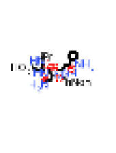 CCCCCCCCCC(=O)NC(CC(=O)c1ccccc1N)C(=O)NC(CC(N)=O)C(=O)NC(CC(=O)O)C(=O)NC(C)C